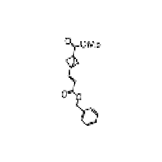 COC(=O)C12CC(/C=C/C(=O)OCc3ccccc3)(C1)C2